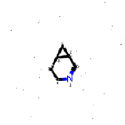 C1=NCCC2C[C]12